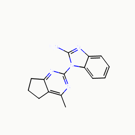 Cc1nc(-n2c(N)nc3ccccc32)nc2c1CCC2